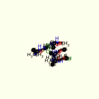 CCOCC(=O)NC1CCC(Cc2ccccc2F)(N(C)C)CC1.CN(C)C1(Cc2ccc(Cl)cc2)CCC(NC(=O)COCc2ccccc2)CC1.CN(C)C1(Cc2ccccc2)CCC(NC(=O)CSc2ccc(C(F)(F)F)cn2)CC1.Cc1cc(Cl)ccc1OCCCC(=O)NC1CCC(Cc2ccccc2)(N(C)C)CC1